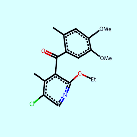 CCOc1ncc(Cl)c(C)c1C(=O)c1cc(OC)c(OC)cc1C